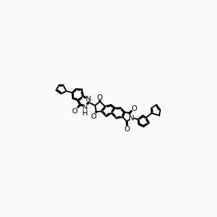 O=C1c2cc3cc4c(cc3cc2C(=O)C1c1nc2ccc(C3C=CC=C3)cc2c(=O)[nH]1)C(=O)N(c1cccc(C2=CC=CC2)c1)C4=O